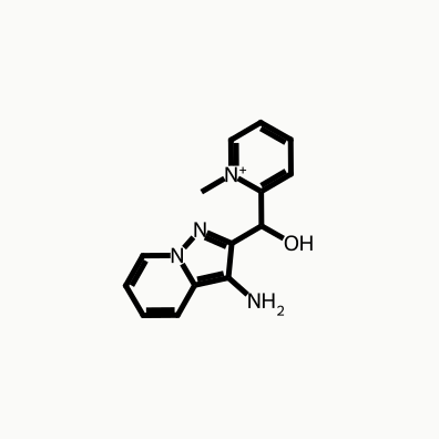 C[n+]1ccccc1C(O)c1nn2ccccc2c1N